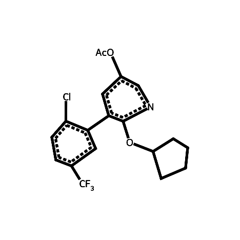 CC(=O)Oc1cnc(OC2CCCC2)c(-c2cc(C(F)(F)F)ccc2Cl)c1